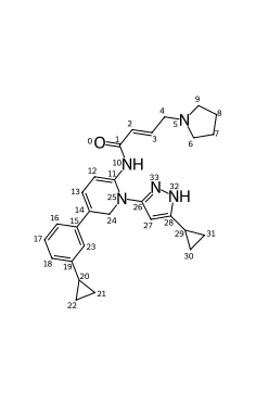 O=C(/C=C/CN1CCCC1)NC1=CC=C(c2cccc(C3CC3)c2)CN1c1cc(C2CC2)[nH]n1